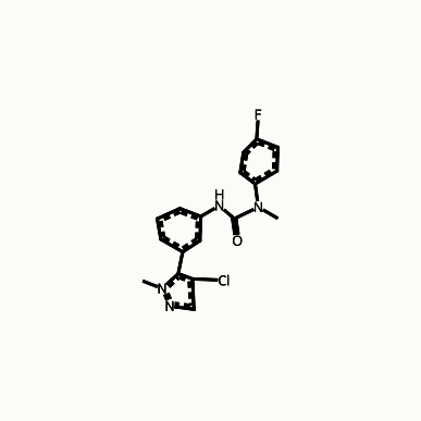 CN(C(=O)Nc1cccc(-c2c(Cl)cnn2C)c1)c1ccc(F)cc1